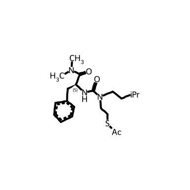 CC(=O)SCCN(CCC(C)C)C(=O)N[C@@H](Cc1ccccc1)C(=O)N(C)C